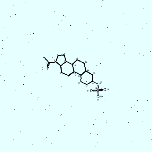 C=C(C)C1CCC2C1CCC1C3CCC(OS(=O)(=O)O)CC3CCC12